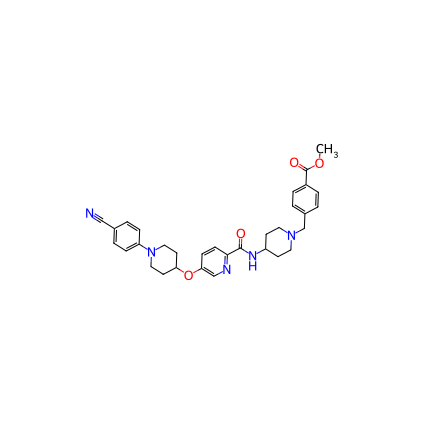 COC(=O)c1ccc(CN2CCC(NC(=O)c3ccc(OC4CCN(c5ccc(C#N)cc5)CC4)cn3)CC2)cc1